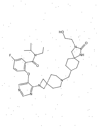 CCN(C(=O)c1cc(F)ccc1Oc1cncnc1N1CC2(CCN(CC3CCC4(CC3)CN(CCO)C(=O)N4)CC2)C1)C(C)C